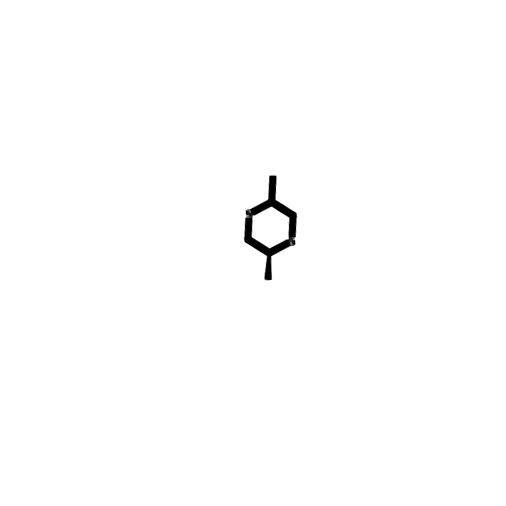 CC1CS[C@@H](C)CS1